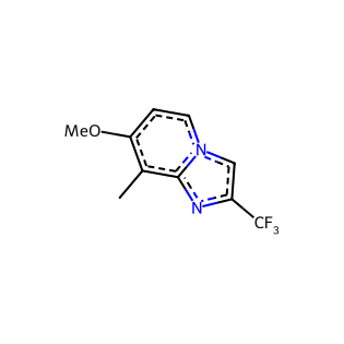 COc1ccn2cc(C(F)(F)F)nc2c1C